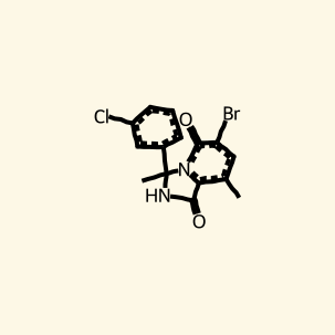 Cc1cc(Br)c(=O)n2c1C(=O)NC2(C)c1cccc(Cl)c1